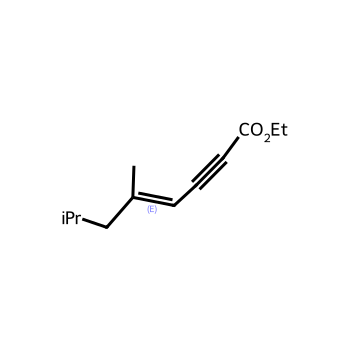 CCOC(=O)C#C/C=C(\C)CC(C)C